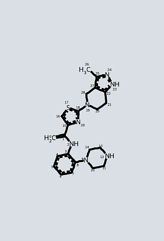 C=C(Nc1ccccc1N1CCNCC1)c1csc(N2CCc3[nH]nc(C)c3C2)n1